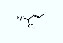 [CH2]/C=C/C(C(F)(F)F)C(F)(F)F